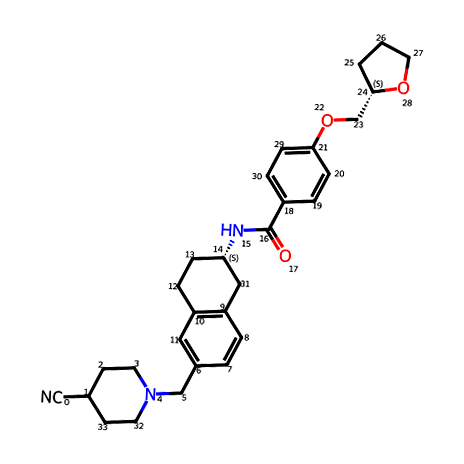 N#CC1CCN(Cc2ccc3c(c2)CC[C@H](NC(=O)c2ccc(OC[C@@H]4CCCO4)cc2)C3)CC1